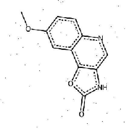 COc1ccc2ncc3[nH]c(=O)oc3c2c1